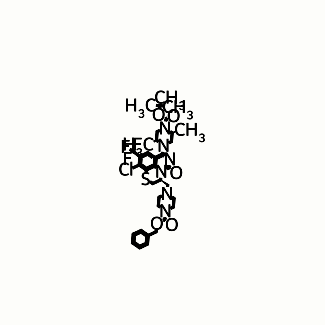 C[C@@H]1CN(c2nc(=O)n3c4c(c(Cl)c(C(F)(F)F)cc24)SC[C@@H]3CN2CCN(C(=O)OCc3ccccc3)CC2)[C@@H](C)CN1C(=O)OC(C)(C)C